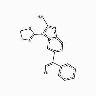 N#CC=C(c1ccccc1)c1ccc2nc(N)n(C3=NCCS3)c2c1